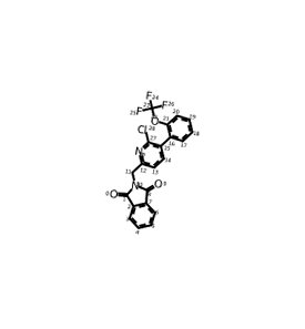 O=C1c2ccccc2C(=O)N1Cc1ccc(-c2ccccc2OC(F)(F)F)c(Cl)n1